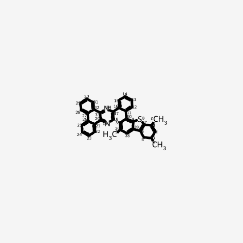 CC1=CC(C)Cc2c1sc1c(-c3ccccc3-c3cnc4c5ccccc5c5ccccc5c4n3)cc(C)cc21